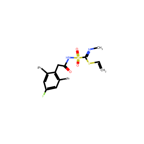 C=CS/C(=N\C)S(=O)(=O)NC(=O)Cc1c(C(C)C)cc(F)cc1C(C)C